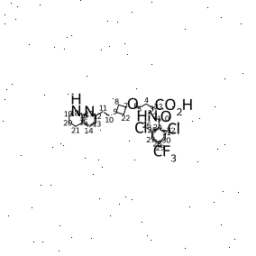 O=C(NC(CCO[C@H]1C[C@@H](CCc2ccc3c(n2)NCCC3)C1)C(=O)O)c1c(Cl)cc(C(F)(F)F)cc1Cl